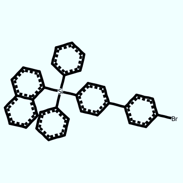 Brc1ccc(-c2ccc([Si](c3ccccc3)(c3ccccc3)c3cccc4ccccc34)cc2)cc1